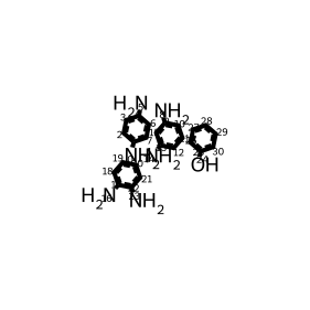 Nc1ccc(N)cc1.Nc1cccc(N)c1.Nc1ccccc1N.Oc1ccccc1